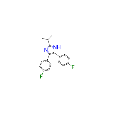 CC(C)c1nc(-c2ccc(F)cc2)c(-c2ccc(F)cc2)[nH]1